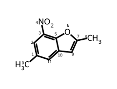 Cc1cc([N+](=O)[O-])c2oc(C)cc2c1